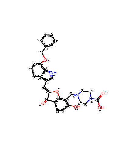 O=C1C(=Cc2c[nH]c3c(OCc4ccccc4)cccc23)Oc2c1ccc(O)c2CN1CCN(C(=O)O)CC1